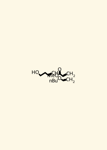 C=CC(=O)OC.C=COCCCC.[CH]=CCCO